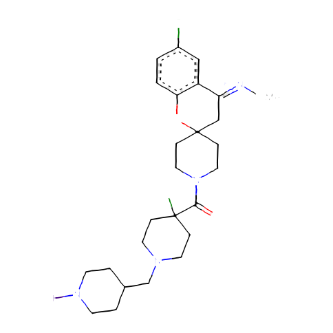 CO/N=C1\CC2(CCN(C(=O)C3(F)CCN(CC4CCN(I)CC4)CC3)CC2)Oc2ccc(F)cc21